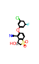 N#Cc1c(OC2=CC(F)CC(Cl)=C2)ccc2c1[C@@H](O)CS2(=O)=O